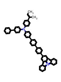 C/C=C(\C)c1ccc(N(c2ccc(-c3ccccc3)cc2)c2ccc(-c3ccc(-c4ccc(-c5cc6c7ccccc7n7c8ccccc8c(c5)c67)cc4)cc3)cc2)cc1